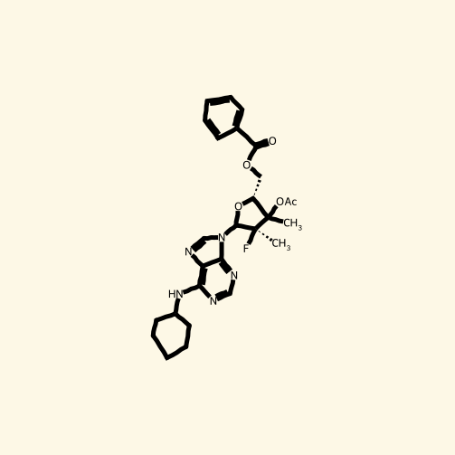 CC(=O)OC1(C)[C@@H](COC(=O)c2ccccc2)OC(n2cnc3c(NC4CCCCC4)ncnc32)[C@]1(C)F